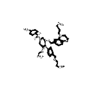 COCCCN1CCOc2ccc(CO[C@H]3CN(S(=O)(=O)c4ccc(C)cc4)C[C@@H](OCC(=O)O)[C@@H]3c3ccc(COCCOC)cc3)cc21